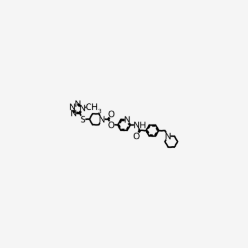 Cn1nnnc1SC1CCN(C(=O)Oc2ccc(NC(=O)c3ccc(CN4CCCCC4)cc3)nc2)CC1